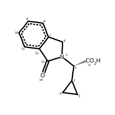 O=C(O)[C@H](C1CC1)N1Cc2ccccc2C1=O